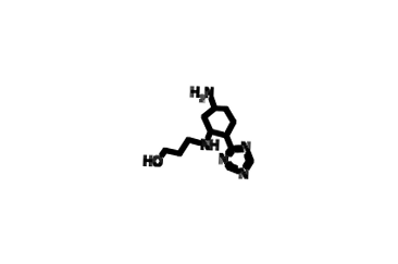 NC1CCC(c2ncncn2)C(NCCCO)C1